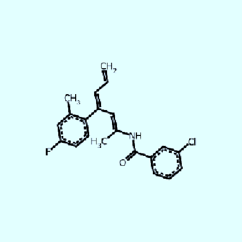 C=C/C=C(\C=C(/C)NC(=O)c1cccc(Cl)c1)c1ccc(F)cc1C